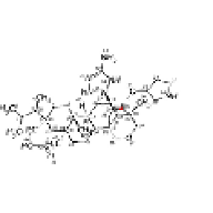 CC(C)[C@@H](C)[C@@]1(C)CC[C@]2(C)[C@H]3CC[C@@H]4[C@@]5(COC[C@@]4(C)[C@@H](OC4CCNC4)[C@H](N4NN=C(N)N4)C5)C3=CC[C@@]2(C)[C@@H]1C(=O)O